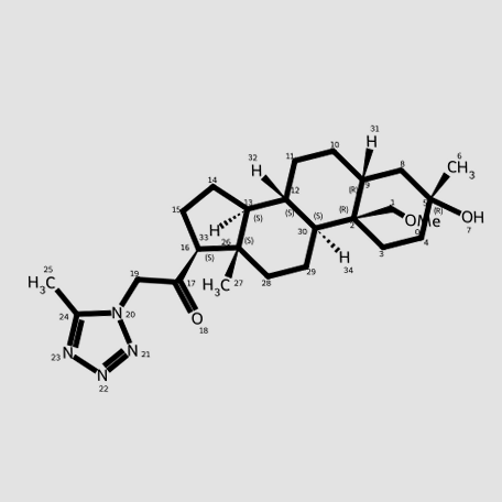 COC[C@]12CC[C@@](C)(O)C[C@H]1CC[C@H]1[C@@H]3CC[C@H](C(=O)Cn4nnnc4C)[C@@]3(C)CC[C@@H]12